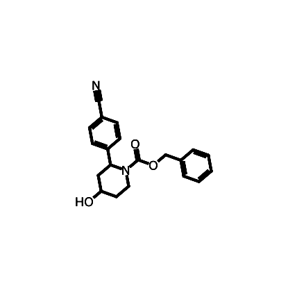 N#Cc1ccc(C2CC(O)CCN2C(=O)OCc2ccccc2)cc1